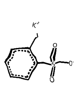 O=S(=O)([O-])c1ccccc1I.[K+]